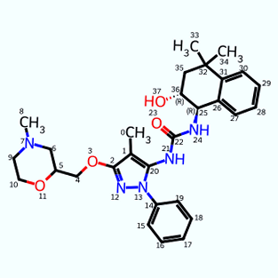 Cc1c(OCC2CN(C)CCO2)nn(-c2ccccc2)c1NC(=O)N[C@@H]1c2ccccc2C(C)(C)C[C@H]1O